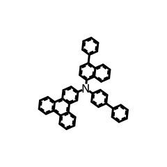 c1ccc(-c2ccc(N(c3ccc4c5ccccc5c5ccccc5c4c3)c3ccc(-c4ccccc4)c4ccccc34)cc2)cc1